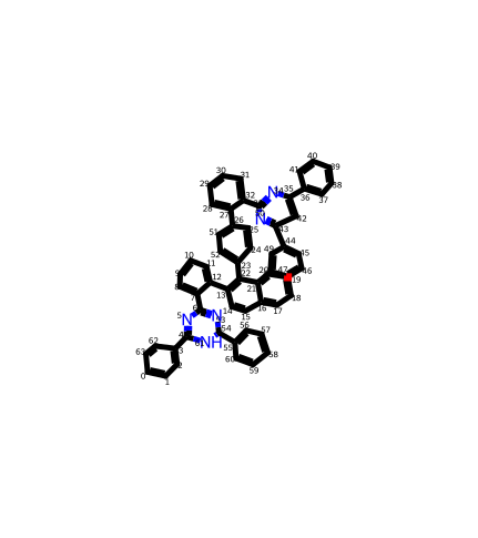 c1ccc(C2=NC(c3ccccc3-c3ccc4ccccc4c3-c3ccc(-c4ccccc4-c4nc(-c5ccccc5)cc(-c5ccccc5)n4)cc3)=NC(c3ccccc3)N2)cc1